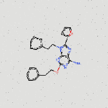 Nc1nc(OCCc2ccccc2)nc2c1nc(-c1ccco1)n2CCc1ccccc1